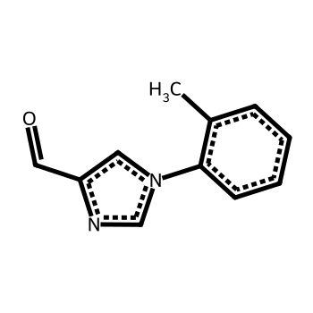 Cc1ccccc1-n1cnc(C=O)c1